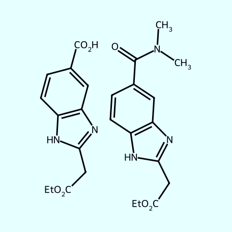 CCOC(=O)Cc1nc2cc(C(=O)N(C)C)ccc2[nH]1.CCOC(=O)Cc1nc2cc(C(=O)O)ccc2[nH]1